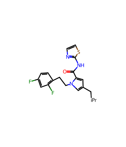 CC(C)Cc1cc(C(=O)Nc2nccs2)n(CCc2ccc(F)cc2F)c1